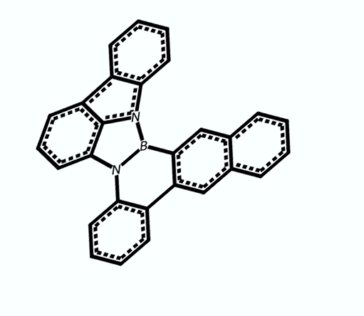 c1ccc2c(c1)-c1cc3ccccc3cc1B1N2c2cccc3c4ccccc4n1c23